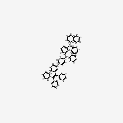 c1ccc(-c2c(-c3ccccc3)c3cc(-c4ccc(N(c5ccccc5)c5cccc6c5c5ccccc5n6-c5cccc6ccccc56)cc4)ccc3c3ccccc23)cc1